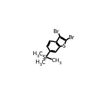 C[Si](C)(C)c1ccc2c(Br)c(Br)sc2c1